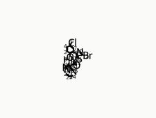 COc1ccc(Cl)cc1-c1nc(Br)sc1NC(=O)c1cnn2cccnc12